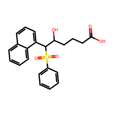 O=C(O)CCCC(O)C(c1cccc2ccccc12)S(=O)(=O)c1ccccc1